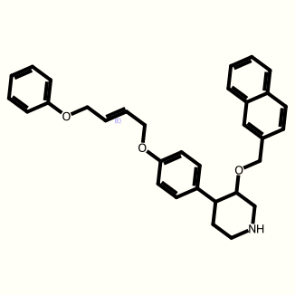 C(=C\COc1ccc(C2CCNCC2OCc2ccc3ccccc3c2)cc1)/COc1ccccc1